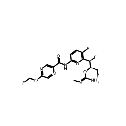 C/N=C(/N)O[C@H](CF)[C@H](F)c1nc(NC(=O)c2cnc(OCF)cn2)ccc1F